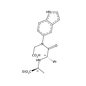 CCOC(=O)[C@H](C)N[C@H](C(=O)N(CC(=O)O)c1ccc2[nH]ccc2c1)C(C)C